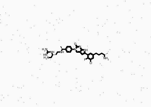 C[C@H](N)CCCc1cc(Cl)c(F)c(-c2cc3cn(-c4ccc([C@H](C)NCC[C@H](CN)NC(=N)N)cc4)c(=O)nc3[nH]2)c1